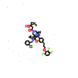 C[C@@H](O)CC(=O)N1C[C@@H]2CC(c3ccc(CCCOc4c(F)ccc(F)c4F)cc3)=C(C(=O)N(Cc3ccccc3Cl)C3CC3)[C@H](C1)N2